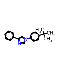 CC(C)(C)c1ccc(-n2cnc(-c3ccccc3)c2)cc1